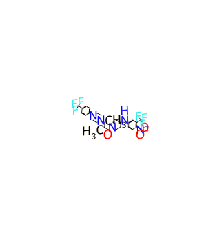 CC(C(=O)N1CCC(Nc2ccc([N+](=O)[O-])c(C(F)(F)F)c2)CC1)C(C)N1CCN(c2ccc(C(F)(F)F)cc2)CC1